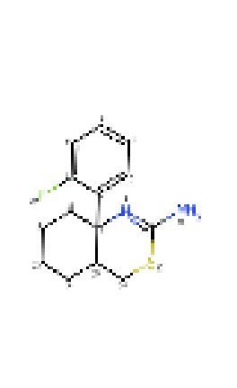 NC1=NC2(c3ccccc3F)CCCCC2CS1